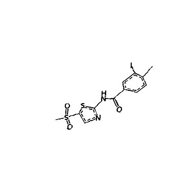 Cc1ccc(C(=O)Nc2ncc(S(C)(=O)=O)s2)cc1I